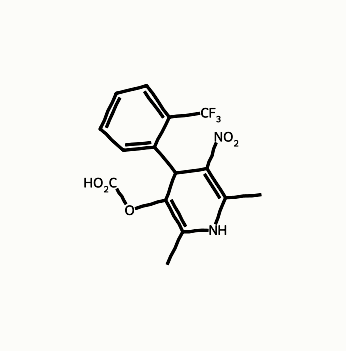 CC1=C(OC(=O)O)C(c2ccccc2C(F)(F)F)C([N+](=O)[O-])=C(C)N1